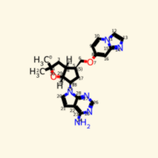 CC1(C)C[C@@H]2[C@@H](COc3ccn4ccnc4c3)C[C@@H](n3ccc4c(N)ncnc43)[C@@H]2O1